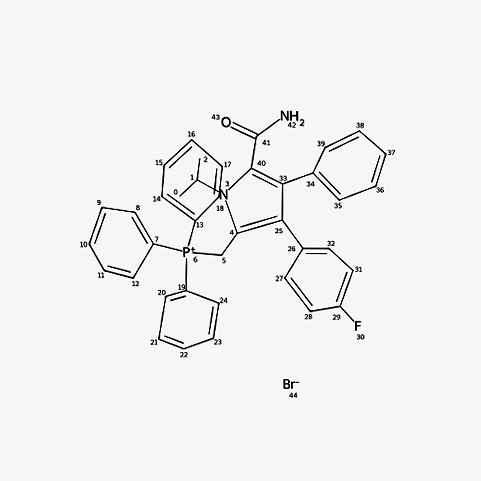 CC(C)n1c(C[P+](c2ccccc2)(c2ccccc2)c2ccccc2)c(-c2ccc(F)cc2)c(-c2ccccc2)c1C(N)=O.[Br-]